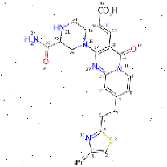 CC(C)c1csc(CCc2ccn3c(=O)c(/C=C/C(=O)O)c(N4CCNC(C(N)=O)C4)nc3c2)n1